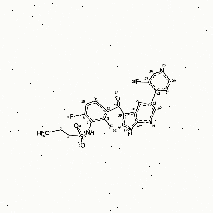 CCCS(=O)(=O)Nc1c(F)ccc(C(=O)c2c[nH]c3ncc(-c4ccncc4F)cc23)c1F